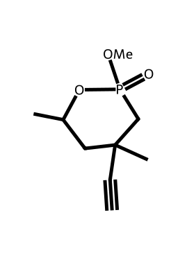 C#CC1(C)CC(C)OP(=O)(OC)C1